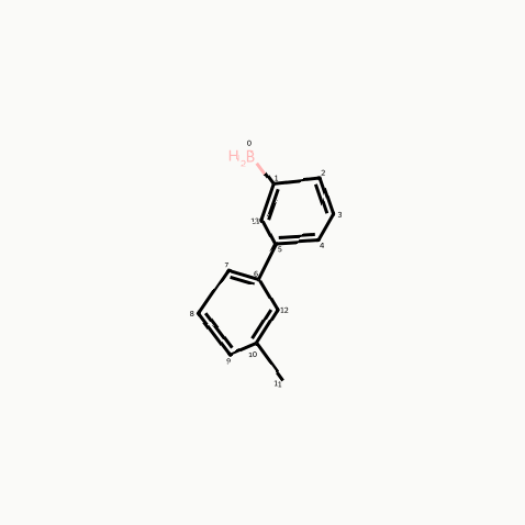 Bc1cccc(-c2cccc(C)c2)c1